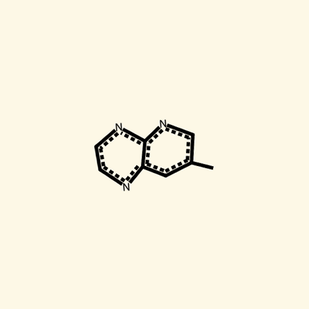 Cc1cnc2nccnc2c1